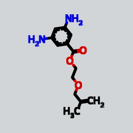 C=C(C)COCCOC(=O)c1cc(N)cc(N)c1